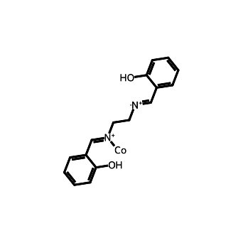 Oc1ccccc1C=[N+]CC[N+]([Co])=Cc1ccccc1O